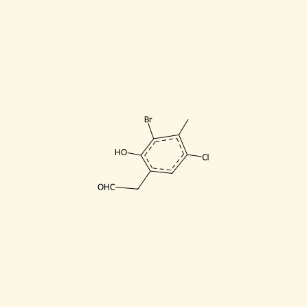 Cc1c(Cl)cc(CC=O)c(O)c1Br